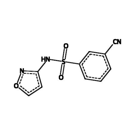 N#Cc1cccc(S(=O)(=O)Nc2ccon2)c1